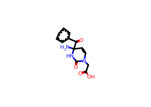 NC1(C(=O)c2ccccc2)C=CN(CC(=O)O)C(=O)N1